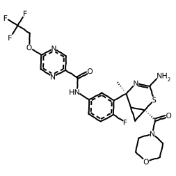 C[C@]1(c2cc(NC(=O)c3cnc(OCC(F)(F)F)cn3)ccc2F)N=C(N)S[C@@]2(C(=O)N3CCOCC3)CC21